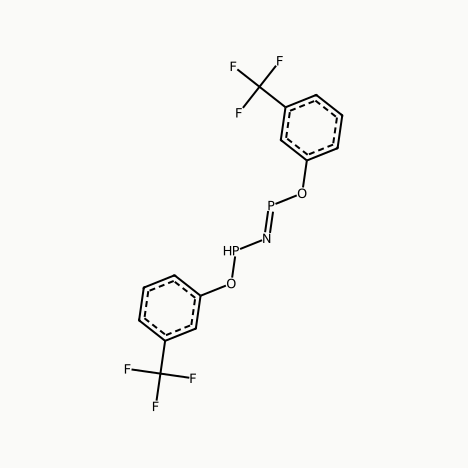 FC(F)(F)c1cccc(OP=NPOc2cccc(C(F)(F)F)c2)c1